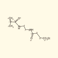 C=C(C)C(=O)NCCNC(=O)CCC(=O)OCC